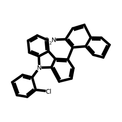 O=[N+]([O-])c1ccc2ccccc2c1-c1cccc2c1c1ccccc1n2-c1ccccc1Cl